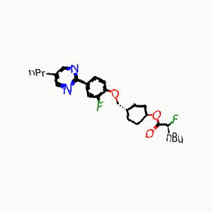 CCCC[C@H](F)C(=O)O[C@H]1CC[C@H](COc2ccc(-c3ncc(CCC)cn3)cc2F)CC1